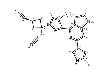 Cn1cc(-c2cc(-c3cn([C@]4(CC#N)C[C@H](C#N)C4)nc3N)c3ccnn3c2)cn1